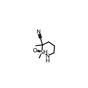 CC1(C#N)CCCN[SH]1(C)=O